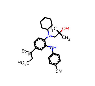 CC[C@H](CC(=O)O)c1ccc(N(CC(C)(C)O)C2CCCCC2)c(Nc2ccc(C#N)cc2)c1